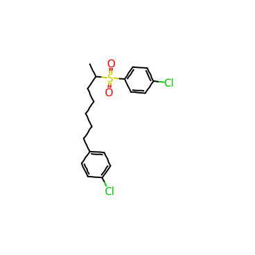 CC(CCCCCc1ccc(Cl)cc1)S(=O)(=O)c1ccc(Cl)cc1